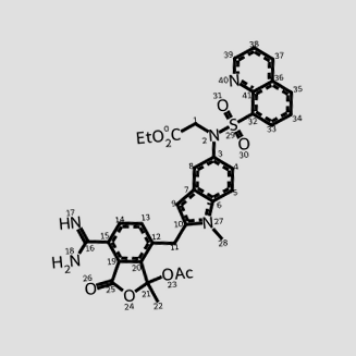 CCOC(=O)CN(c1ccc2c(c1)cc(Cc1ccc(C(=N)N)c3c1C(C)(OC(C)=O)OC3=O)n2C)S(=O)(=O)c1cccc2cccnc12